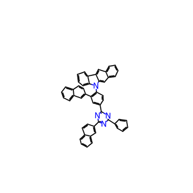 c1ccc(-c2nc(-c3ccc(-n4c5ccccc5c5cc6ccccc6cc54)c(-c4ccc5ccccc5c4)c3)nc(-c3ccc4ccccc4c3)n2)cc1